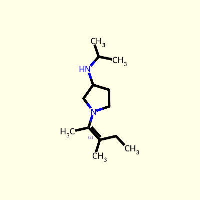 CC/C(C)=C(/C)N1CCC(NC(C)C)C1